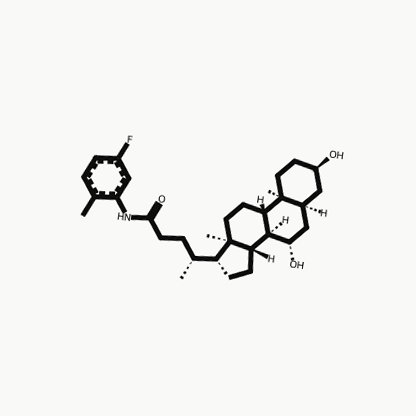 Cc1ccc(F)cc1NC(=O)CC[C@@H](C)[C@H]1CC[C@H]2[C@@H]3[C@@H](O)C[C@@H]4C[C@H](O)CC[C@]4(C)[C@H]3CC[C@]12C